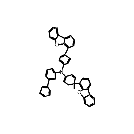 CC1(c2cccc3c2oc2ccccc23)C=CC(N(c2ccc(-c3cccc4c3oc3ccccc34)cc2)c2cccc(-c3ccccc3)c2)=CC1